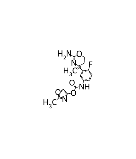 Cc1nc(OC(=O)Nc2ccc(F)c([C@]3(C)CCOC(N)=N3)c2)co1